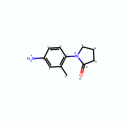 Cc1cc(N)ccc1N1CCCC1=O